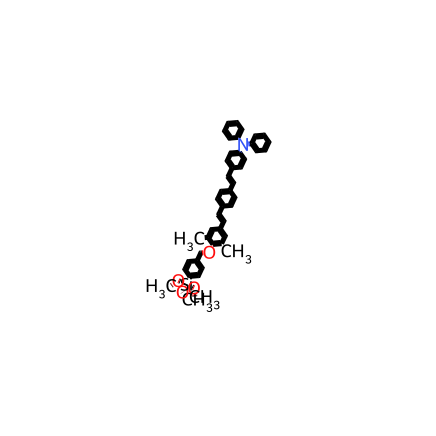 CO[Si](OC)(OC)c1ccc(COc2c(C)cc(/C=C/c3ccc(/C=C/c4ccc(N(c5ccccc5)c5ccccc5)cc4)cc3)cc2C)cc1